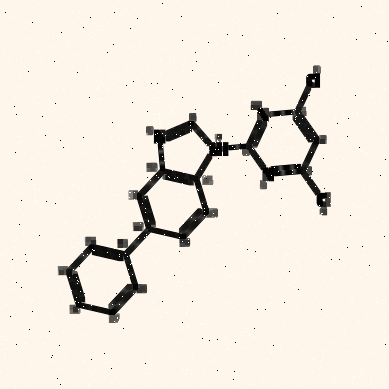 Clc1cc(Cl)nc([SH]2C=Nc3cc(-c4ccccc4)ccc32)n1